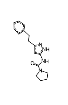 O=C(Nc1cc(CCc2ccccc2)n[nH]1)N1CCCC1